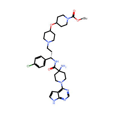 CC(C)(C)OC(=O)N1CCC(OC2CCN(CC[C@H](NC(=O)C3(N)CCN(c4ncnc5[nH]ccc45)CC3)c3ccc(Cl)cc3)CC2)CC1